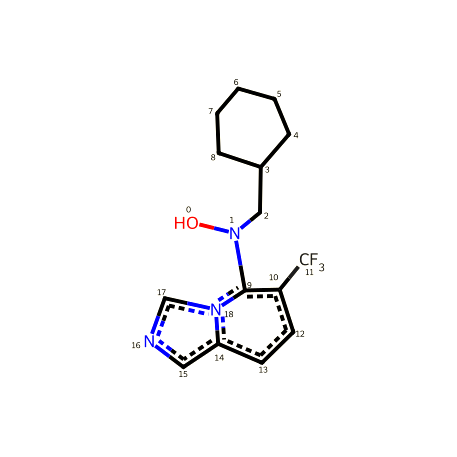 ON(CC1CCCCC1)c1c(C(F)(F)F)ccc2cncn12